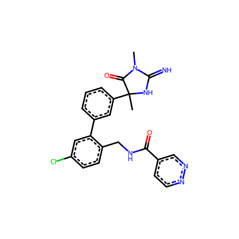 CN1C(=N)NC(C)(c2cccc(-c3cc(Cl)ccc3CNC(=O)c3ccnnc3)c2)C1=O